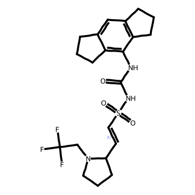 O=C(Nc1c2c(cc3c1CCC3)CCC2)NS(=O)(=O)/C=C/C1CCCN1CC(F)(F)F